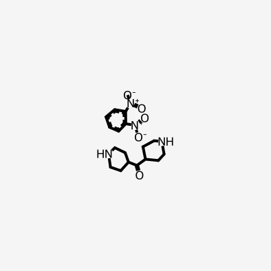 O=C(C1CCNCC1)C1CCNCC1.O=[N+]([O-])c1ccccc1[N+](=O)[O-]